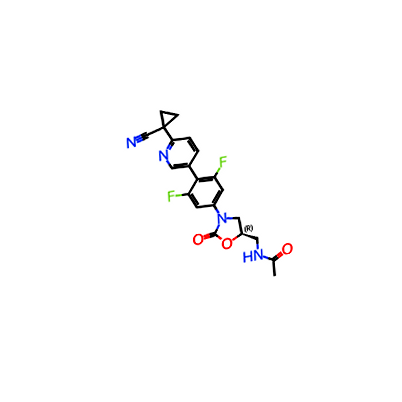 CC(=O)NC[C@@H]1CN(c2cc(F)c(-c3ccc(C4(C#N)CC4)nc3)c(F)c2)C(=O)O1